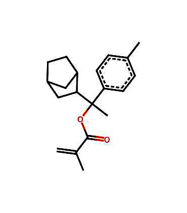 C=C(C)C(=O)OC(C)(c1ccc(C)cc1)C1CC2CCC1C2